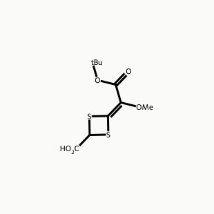 COC(C(=O)OC(C)(C)C)=C1SC(C(=O)O)S1